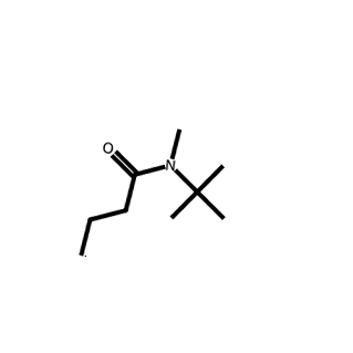 [CH2]CCC(=O)N(C)C(C)(C)C